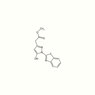 COC(=O)Cc1cc(O)n(-c2nc3ccccc3s2)n1